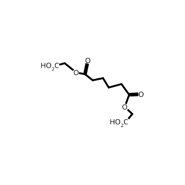 O=C(O)COC(=O)CCCCC(=O)OCC(=O)O